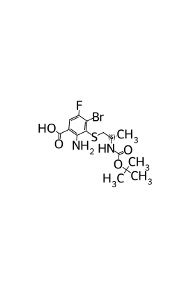 C[C@@H](CSc1c(N)c(C(=O)O)cc(F)c1Br)NC(=O)OC(C)(C)C